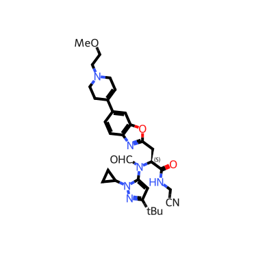 COCCN1CC=C(c2ccc3nc(C[C@@H](C(=O)NCC#N)N(C=O)c4cc(C(C)(C)C)nn4C4CC4)oc3c2)CC1